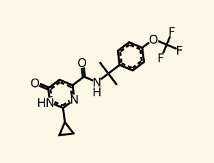 CC(C)(NC(=O)c1cc(=O)[nH]c(C2CC2)n1)c1ccc(OC(F)(F)F)cc1